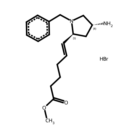 Br.COC(=O)CCCC=C[C@@H]1C[C@@H](N)CN1Cc1ccccc1